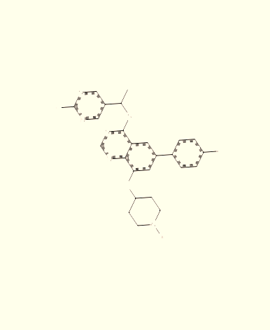 CC(=O)N1CCC(Oc2cc(-c3ccc(F)cc3)cc3c(NC(C)c4cnc(C(F)(F)F)nc4)ncnc23)CC1